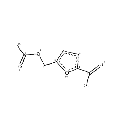 [CH2]C(=O)c1ccc(COC(C)=O)o1